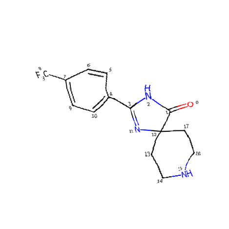 O=C1NC(c2ccc(C(F)(F)F)cc2)=NC12CCNCC2